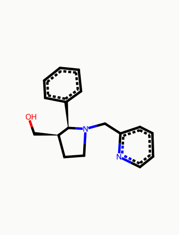 OC[C@@H]1CCN(Cc2ccccn2)[C@@H]1c1ccccc1